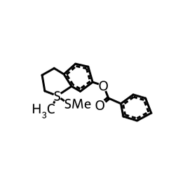 CSS1(C)CCCc2ccc(OC(=O)c3ccccc3)cc21